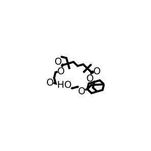 CCC(C)(CCCC(C)(C)C(=O)OC12CC3CC(CC(OCCO)(C3)C1)C2)C(=O)OCC1CO1